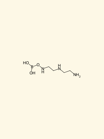 NCCNCCNOB(O)O